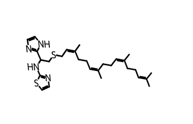 CC(C)=CCCC(C)=CCCC(C)=CCCC(C)=CCSCC(Nc1nccs1)c1ncc[nH]1